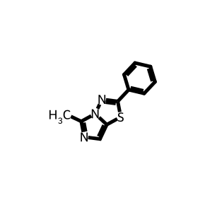 Cc1ncc2sc(-c3ccccc3)nn12